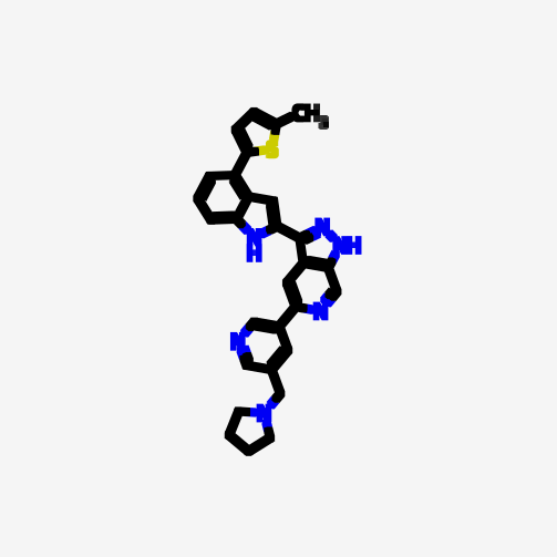 Cc1ccc(-c2cccc3[nH]c(-c4n[nH]c5cnc(-c6cncc(CN7CCCC7)c6)cc45)cc23)s1